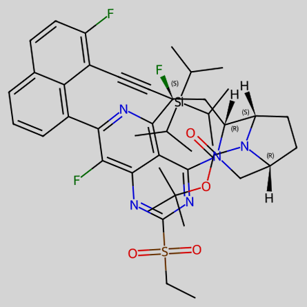 CCS(=O)(=O)c1nc2c3c(nc(-c4cccc5ccc(F)c(C#C[Si](C(C)C)(C(C)C)C(C)C)c45)c(F)c3n1)[C@@H](F)C[C@@H]1[C@@H]3CC[C@H](CN21)N3C(=O)OC(C)(C)C